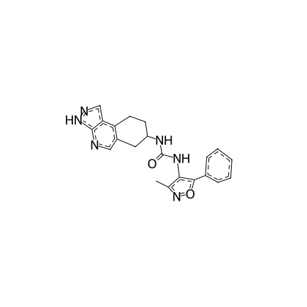 Cc1noc(-c2ccccc2)c1NC(=O)NC1CCc2c(cnc3[nH]ncc23)C1